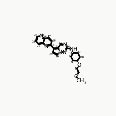 COCCO[C@H]1CC[C@@H](Nc2ncc3c(-c4ccc5ncccc5n4)ccn3n2)CC1